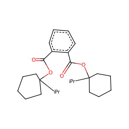 CC(C)C1(OC(=O)c2ccccc2C(=O)OC2(C(C)C)CCCCC2)CCCCC1